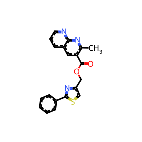 Cc1nc2ncccc2cc1C(=O)OCc1csc(-c2ccccc2)n1